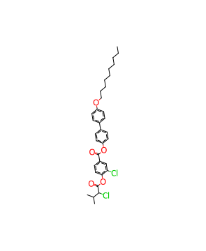 CCCCCCCCCCOc1ccc(-c2ccc(OC(=O)c3ccc(OC(=O)C(Cl)C(C)C)c(Cl)c3)cc2)cc1